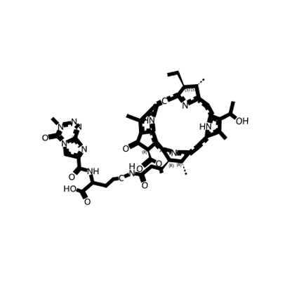 CC[C@@H]1c2cc3[nH]c4c(c3C)C(=O)[C@H](C(=O)OC)c4c3nc(cc4[nH]c(cc(n2)[C@H]1C)c(C(C)O)c4C)[C@H](C)[C@H]3CCC(=O)NCCCC(NC(=O)c1cn2c(=O)n(C)nnc2n1)C(=O)O